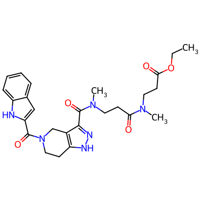 CCOC(=O)CCN(C)C(=O)CCN(C)C(=O)c1n[nH]c2c1CN(C(=O)c1cc3ccccc3[nH]1)CC2